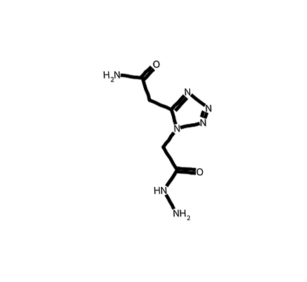 NNC(=O)Cn1nnnc1CC(N)=O